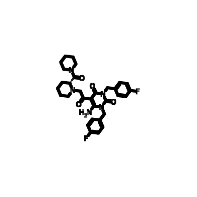 Nc1c(C(=O)CN2CCCC[C@@H]2C(=O)N2CCCCC2)c(=O)n(Cc2ccc(F)cc2)c(=O)n1Cc1ccc(F)cc1